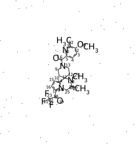 COc1ccc(C(=O)N2CCC3(CC2)c2ccc(C(=O)C(F)(F)F)n2C[C@H](C)N3C)nc1C